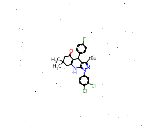 CC1(C)CC(=O)C2=C(C1)Nc1c(c(C(C)(C)C)nn1-c1ccc(Cl)c(Cl)c1)C2c1ccc(F)cc1